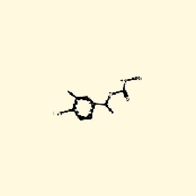 Cc1cc(C(C)OC(=O)NC(C)(C)C)ccc1N